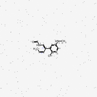 C/C=C\C(=C/NC=O)c1cc(NC)cnc1Cl